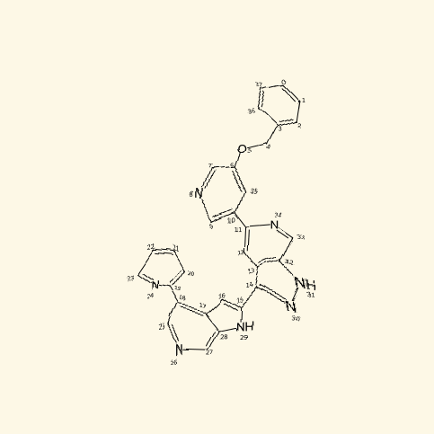 c1ccc(COc2cncc(-c3cc4c(-c5cc6c(-c7ccccn7)cncc6[nH]5)n[nH]c4cn3)c2)cc1